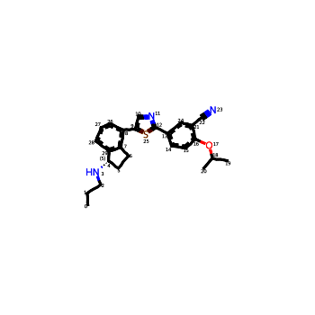 CCCN[C@H]1CCc2c(-c3cnc(-c4ccc(OC(C)C)c(C#N)c4)s3)cccc21